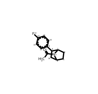 CC(=O)N1C2CCC1C(c1ccc(F)cc1)C2